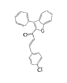 O=C(C=Cc1ccc(Cl)cc1)c1oc2ccccc2c1-c1ccccc1